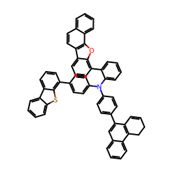 C1=Cc2c(-c3ccc(N(c4ccc(-c5cccc6c5sc5ccccc56)cc4)c4ccccc4-c4cccc5c4oc4c6ccccc6ccc54)cc3)cc3ccccc3c2CC1